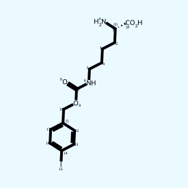 N[C@@H](CCCCNC(=O)OCc1ccc(I)cc1)C(=O)O